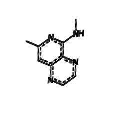 CNc1nc(C)cc2nccnc12